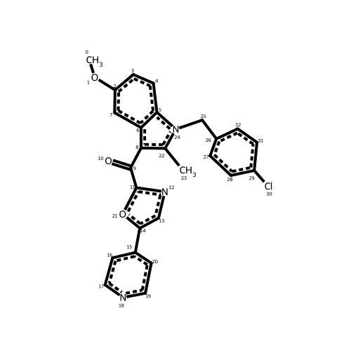 COc1ccc2c(c1)c(C(=O)c1ncc(-c3ccncc3)o1)c(C)n2Cc1ccc(Cl)cc1